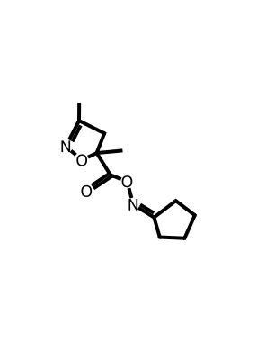 CC1=NOC(C)(C(=O)ON=C2CCCC2)C1